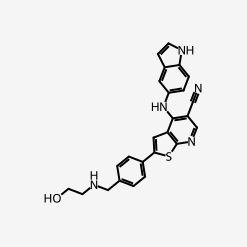 N#Cc1cnc2sc(-c3ccc(CNCCO)cc3)cc2c1Nc1ccc2[nH]ccc2c1